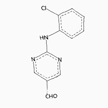 O=Cc1cnc(Nc2ccccc2Cl)nc1